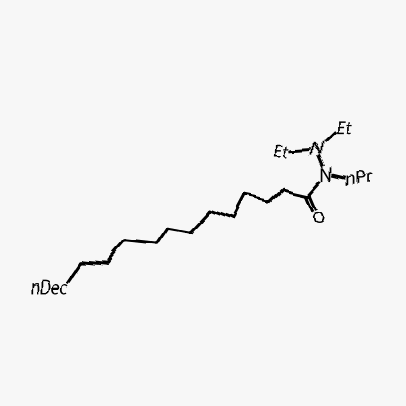 CCCCCCCCCCCCCCCCCCCCCC(=O)N(CCC)N(CC)CC